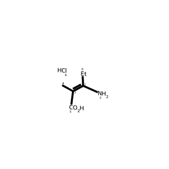 CCC(N)=C(C)C(=O)O.Cl